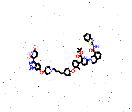 Cc1c(OC2CCC(CCCCN3CCC(Oc4ccc5c(C6CCC(=O)NC6=O)nn(C)c5c4)CC3)CC2)cccc1-c1ccc(N2CCc3cccc(C(=O)Nc4nc5ccccc5s4)c3C2)nc1C(=O)OC(C)(C)C